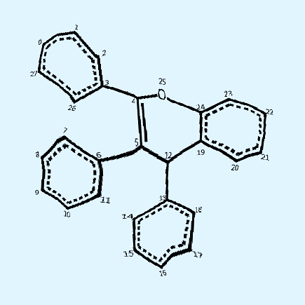 c1ccc(C2=C(c3ccccc3)C(c3ccccc3)c3ccccc3O2)cc1